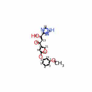 COc1cccc(Oc2cc(C(=O)C=C(O)c3nc[nH]n3)co2)c1